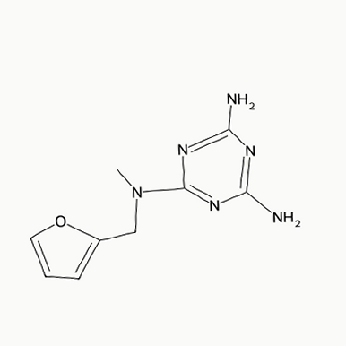 CN(Cc1ccco1)c1nc(N)nc(N)n1